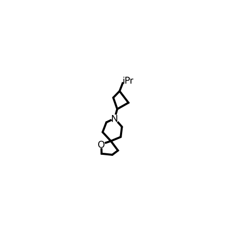 CC(C)C1CC(N2CCC3(CCCO3)CC2)C1